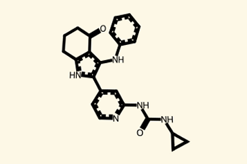 O=C(Nc1cc(-c2[nH]c3c(c2Nc2ccccc2)C(=O)CCC3)ccn1)NC1CC1